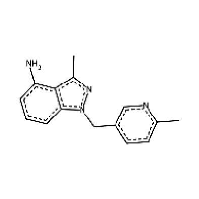 Cc1ccc(Cn2nc(C)c3c(N)cccc32)cn1